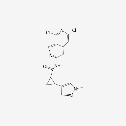 Cn1cc(C2CC2C(=O)Nc2cc3cc(Cl)nc(Cl)c3cn2)cn1